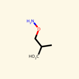 CC(CON)C(=O)O